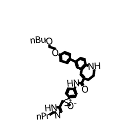 CCCCOCCOc1ccc(-c2ccc3c(c2)/C=C(/C(=O)Nc2ccc([S+]([O-])Cc4cnc(CCC)[nH]4)cc2)CCCN3)cc1